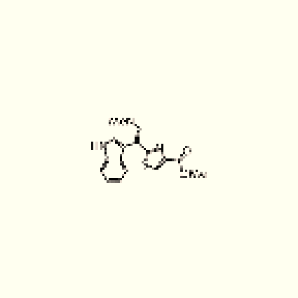 CN/C=C(/c1nc(C(=O)OC)cs1)c1c[nH]c2ccccc12